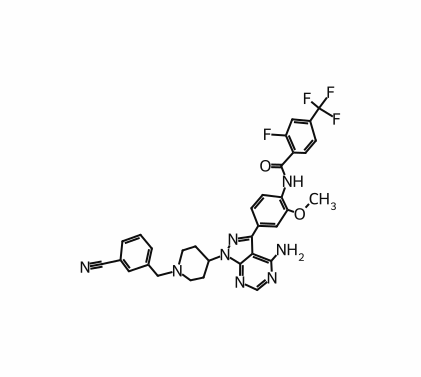 COc1cc(-c2nn(C3CCN(Cc4cccc(C#N)c4)CC3)c3ncnc(N)c23)ccc1NC(=O)c1ccc(C(F)(F)F)cc1F